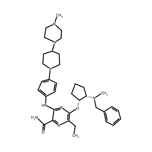 CCc1nc(C(N)=O)c(Nc2ccc(N3CCC(N4CCN(C)CC4)CC3)cc2)nc1O[C@@H]1CCC[C@@H]1N(C)Cc1ccccc1